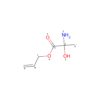 [CH2]C(N)(O)C(=O)OCC=C